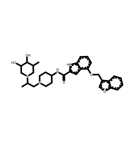 CC1CN(C(C)CN2CCC(NC(=O)c3cc4c(OCc5coc6ccccc56)cccc4[nH]3)CC2)CC(O)C1O